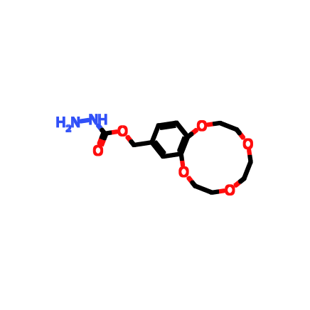 NNC(=O)OCc1ccc2c(c1)OCCOCCOCCO2